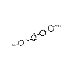 CCCCCC[C@H]1CC[C@H](c2ccc(-c3ncc(CC[C@H]4CC[C@H](CCCC)CC4)cn3)cc2)CC1